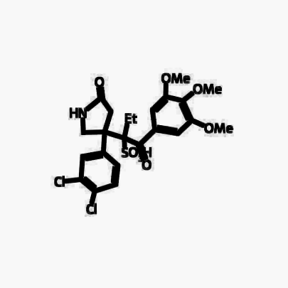 CCC(C(=O)c1cc(OC)c(OC)c(OC)c1)(C1(c2ccc(Cl)c(Cl)c2)CNC(=O)C1)S(=O)(=O)O